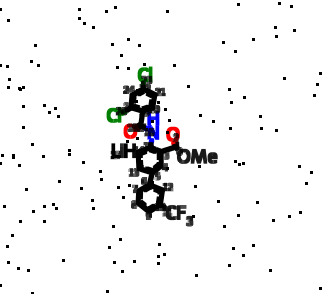 COC(=O)c1cc(-c2cccc(C(F)(F)F)c2)ccc1NC(=O)c1ccc(Cl)cc1Cl.[LiH]